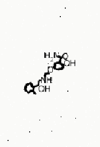 Cc1ccccc1C(O)CNCCOc1ccc(O)c(C(N)=O)c1